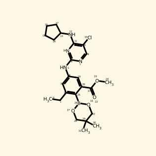 CCc1cc(Nc2ncc(Cl)c(NC3CCCC3)n2)cc(C(=O)OC)c1B1OCC(C)(C)CO1